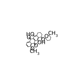 COc1cccc2c1C(=O)c1c(O)c3c(c(O)c1C2=O)CCCC3OC1CCC[C@H](C)O1